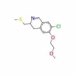 COCCOc1cc2c(cc1Cl)C=NC(CSC)C2